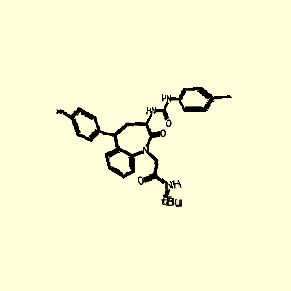 Cc1ccc(NC(=O)NC2CC(c3ccc(C)cc3)c3ccccc3N(CC(=O)NC(C)(C)C)C2=O)cc1